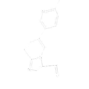 Cc1ccc(-c2ccc3ncc(C=O)n3c2)cn1